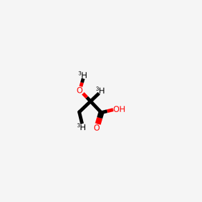 [3H]CC([3H])(O[3H])C(=O)O